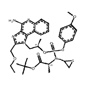 CCOCc1nc2c(N)nc3ccccc3c2n1C[C@@H](C)OP(=O)(Oc1ccc(OC)cc1)N(C1CS1)[C@@H](C)C(=O)OC(C)(C)C